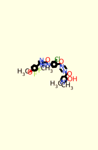 COc1ccc(-c2cnc(C(=O)Nc3ccc(C(=O)N4CCN(C(=O)C5CC[N+](C)(C)CC5O)CC4)c(Cl)c3)n2C)c(F)c1F